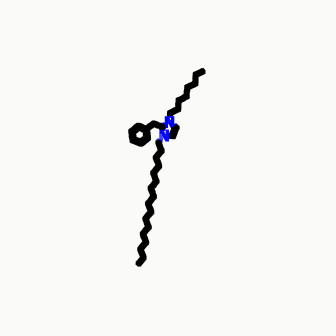 CCCCCCCCCCCCCCCCCN1C=CN(CCCCCCCC)C1Cc1ccccc1